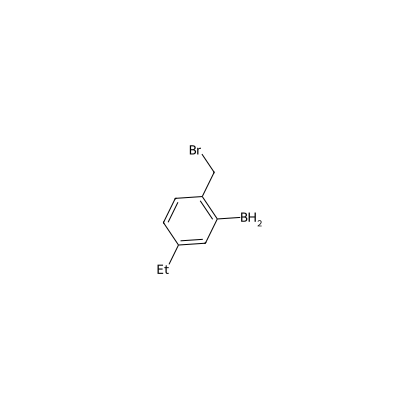 Bc1cc(CC)ccc1CBr